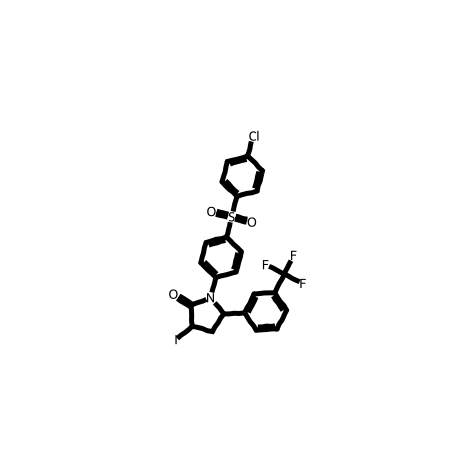 O=C1C(I)CC(c2cccc(C(F)(F)F)c2)N1c1ccc(S(=O)(=O)c2ccc(Cl)cc2)cc1